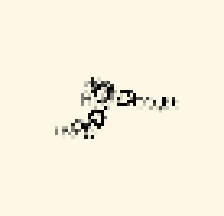 CCOC(=O)N1CCN(C(=O)[C@H](Cc2ccc(C(=O)OC(C)(C)C)cc2)NC(=O)OC(C)(C)C)CC1